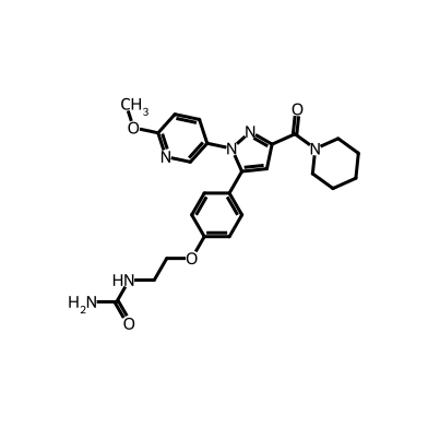 COc1ccc(-n2nc(C(=O)N3CCCCC3)cc2-c2ccc(OCCNC(N)=O)cc2)cn1